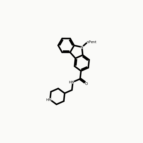 CCCCCn1c2ccccc2c2cc(C(=O)NCC3CCNCC3)ccc21